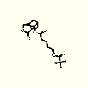 CC(F)(F)C(=O)OCCCCC(=O)OC1C2CC3C(=O)OC1C3C2